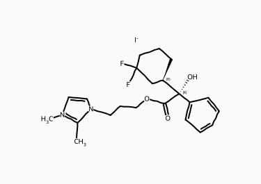 Cc1n(CCCOC(=O)[C@](O)(c2ccccc2)[C@@H]2CCCC(F)(F)C2)cc[n+]1C.[I-]